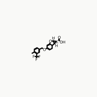 Cc1ccc(COC2=CCC3C(=C2)O[C@H]2[C@H](C(=O)O)[C@@H]32)cc1C(F)(F)F